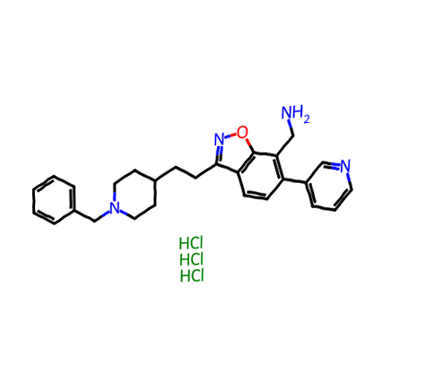 Cl.Cl.Cl.NCc1c(-c2cccnc2)ccc2c(CCC3CCN(Cc4ccccc4)CC3)noc12